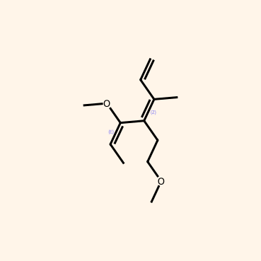 C=C/C(C)=C(CCOC)\C(=C/C)OC